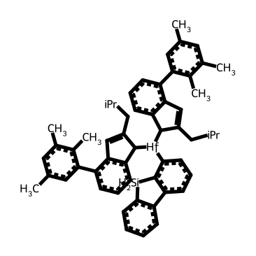 Cc1cc(C)c(C)c(-c2cccc3c2C=C(CC(C)C)[CH]3[Hf]([c]2cccc3c2[SiH2]c2ccccc2-3)[CH]2C(CC(C)C)=Cc3c(-c4cc(C)cc(C)c4C)cccc32)c1